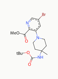 COC(=O)c1ncc(Br)cc1N1CCC(C)(NC(=O)OC(C)(C)C)CC1